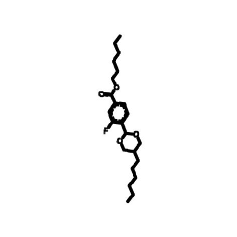 CCCCCCOC(=O)c1ccc(C2OCC(CCCCCC)CO2)c(F)c1